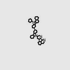 c1ccc(-n2c3ccc(-c4ccc5c(c4)c4ccccc4n5-c4cnc5c(c4)-c4cccc6ccnc-5c46)cc3c3ccc4ccccc4c32)cc1